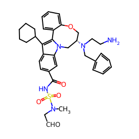 CN(CC=O)S(=O)(=O)NC(=O)c1ccc2c(C3CCCCC3)c3n(c2c1)C[C@@H](N(CCN)Cc1ccccc1)COc1ccccc1-3